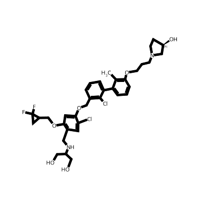 Cc1c(OCCCN2CC[C@@H](O)C2)cccc1-c1cccc(COc2cc(OCC3CC3(F)F)c(CNC(CO)CO)cc2Cl)c1Cl